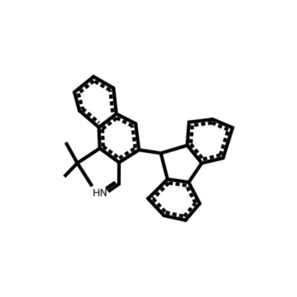 CC(C)(C)c1c(C=N)c(C2c3ccccc3-c3ccccc32)cc2ccccc12